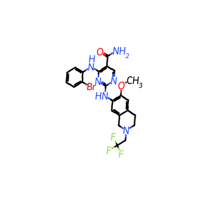 COc1cc2c(cc1Nc1ncc(C(N)=O)c(Nc3ccccc3Br)n1)CN(CC(F)(F)F)CC2